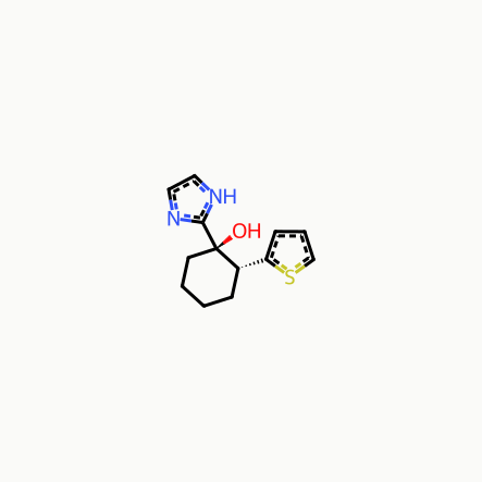 O[C@]1(c2ncc[nH]2)CCCC[C@H]1c1cccs1